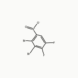 O=[N+]([O-])c1cc(F)c(F)c(Br)c1Br